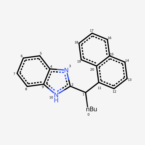 CCCCC(c1nc2ccccc2[nH]1)c1cccc2ccccc12